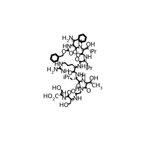 CC(C)C[C@H](NC(=O)[C@@H](NC(=O)[C@@H](NC(=O)OCc1ccccc1)[C@H](N)c1ccccc1)[C@H](O)C(C)C)C(=O)N[C@H](CCCNC(=N)N)C(=O)N[C@@H](CC(C)C)C(=O)N[C@H](C(=O)NCC(=O)N[C@@H](CO)C(=O)N[C@@H](CO)C(=O)O)[C@H](C)O